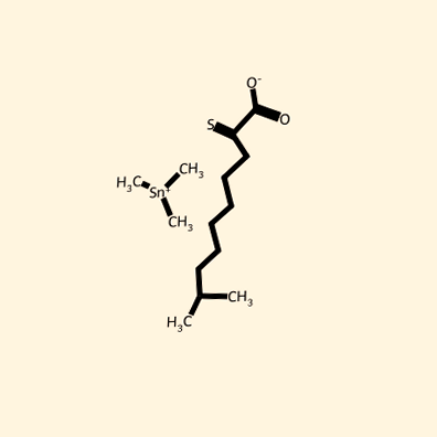 CC(C)CCCCCCC(=S)C(=O)[O-].[CH3][Sn+]([CH3])[CH3]